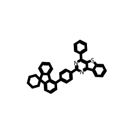 c1ccc(-c2nc(-c3ccc(-c4cccc5c4-c4ccccc4C54CCCCC4)cc3)nc3c2sc2ccccc23)cc1